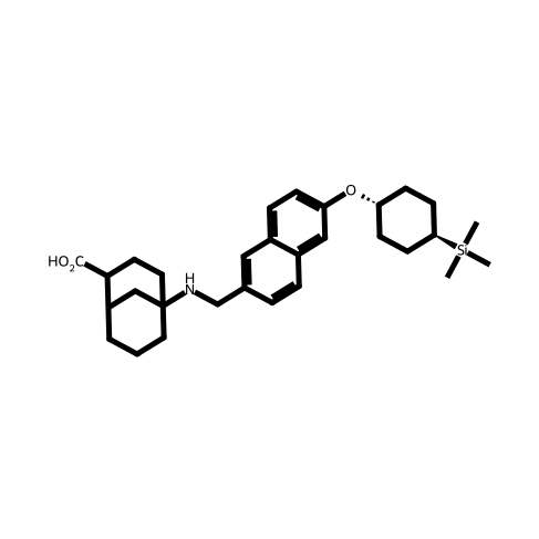 C[Si](C)(C)[C@H]1CC[C@H](Oc2ccc3cc(CNC45CCCC(C4)C(C(=O)O)CC5)ccc3c2)CC1